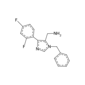 NCc1c(-c2ccc(F)cc2F)ncn1Cc1ccccc1